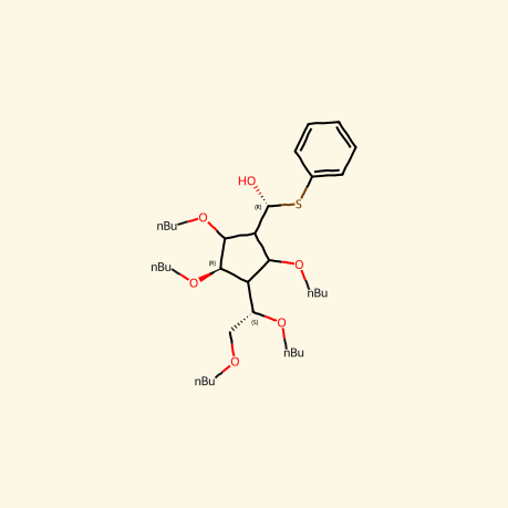 CCCCOC[C@@H](OCCCC)C1C(OCCCC)C([C@H](O)Sc2ccccc2)C(OCCCC)[C@@H]1OCCCC